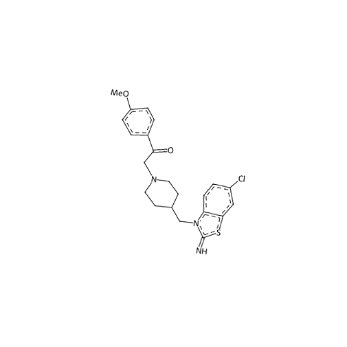 COc1ccc(C(=O)CN2CCC(Cn3c(=N)sc4cc(Cl)ccc43)CC2)cc1